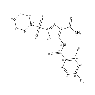 NC(=O)c1cc(S(=O)(=O)N2CCOCC2)sc1NC(=O)c1ccc(F)cc1F